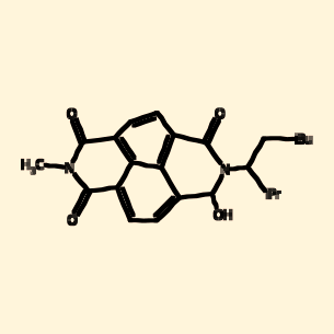 CCC(C)CC(C(C)C)N1C(=O)c2ccc3c4c(ccc(c24)C1O)C(=O)N(C)C3=O